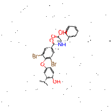 CC(C)c1cc(Oc2c(Br)cc(C(=O)N[C@@H](Cc3ccccc3)C(=O)O)cc2Br)ccc1O